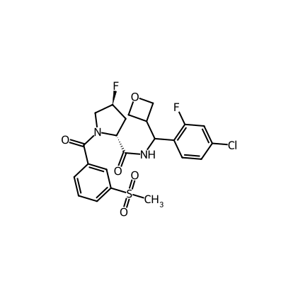 CS(=O)(=O)c1cccc(C(=O)N2C[C@@H](F)C[C@@H]2C(=O)NC(c2ccc(Cl)cc2F)C2COC2)c1